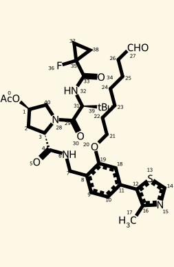 CC(=O)O[C@@H]1C[C@@H](C(=O)NCc2ccc(-c3scnc3C)cc2OCCCCCCC=O)N(C(=O)[C@@H](NC(=O)C2(F)CC2)C(C)(C)C)C1